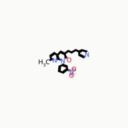 Cc1ccc2cc(CCCc3ccncc3)c(=O)n(-c3cccc([N+](=O)[O-])c3)c2n1